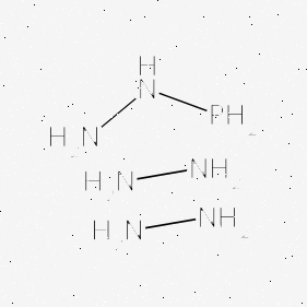 NN.NN.NNP